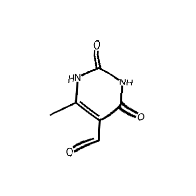 Cc1[nH]c(=O)[nH]c(=O)c1C=O